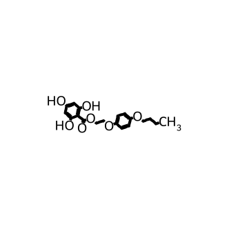 CCCCOc1ccc(OCCOC(=O)c2c(O)cc(O)cc2O)cc1